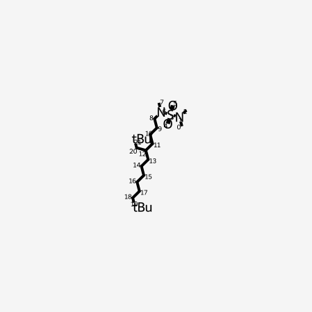 CN(C)S(=O)(=O)N(C)CCCCC(CCCCCCC(C)(C)C)CC(C)(C)C